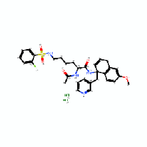 COc1ccc2c(c1)CC=CC2(Cc1cccnc1)NC(=O)[C@H](CCCCNS(=O)(=O)c1ccccc1F)NC(C)=O.Cl.Cl